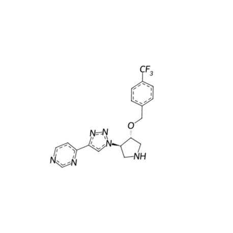 FC(F)(F)c1ccc(CO[C@@H]2CNC[C@H]2n2cc(-c3ccncn3)nn2)cc1